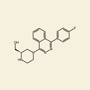 OC[C@H]1CN(c2nnc(-c3ccc(F)cc3)c3ccccc23)CCN1